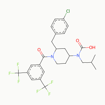 CC(C)CN(C(=O)O)C1CCN(C(=O)c2cc(C(F)(F)F)cc(C(F)(F)F)c2)C(Cc2ccc(Cl)cc2)C1